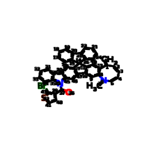 C=C1/C=C\C=C/N(C)c2cc3c(cc21)C1(c2ccccc2-c2ccccc21)c1cc2c4ccccc4n(C(=O)c4ccsc4Br)c2cc1-3